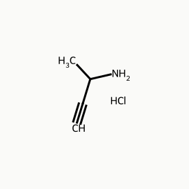 C#CC(C)N.Cl